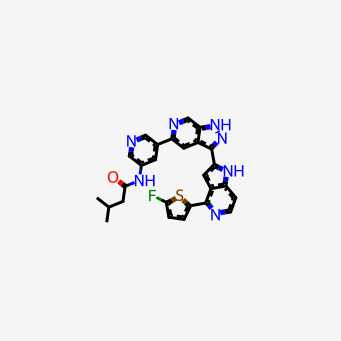 CC(C)CC(=O)Nc1cncc(-c2cc3c(-c4cc5c(-c6ccc(F)s6)nccc5[nH]4)n[nH]c3cn2)c1